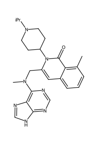 Cc1cccc2cc(CN(C)c3ncnc4[nH]cnc34)n(C3CCN(C(C)C)CC3)c(=O)c12